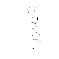 CC(C)S(=O)(=O)N[C@H]1CC[C@H](C(=O)Nc2ccc(N3C[C@@H](C)O[C@@H](C)C3)nc2)CC1